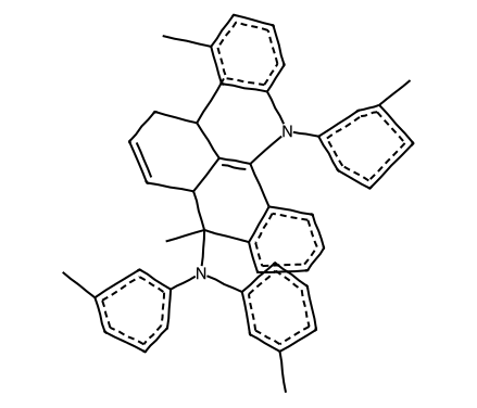 Cc1cccc(N(C2=C3C(C)CC=CC3C(C)(N(c3cccc(C)c3)c3cccc(C)c3)c3ccccc32)c2cccc(C)c2)c1